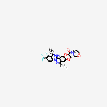 Cc1nnc(NC(C)c2cccc(C(F)F)c2F)c2cc3c(cc12)OCC(C(=O)N1CCCOCC1)O3